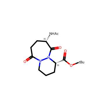 CC(=O)N[C@H]1CCC(=O)N2CCC[C@@H](C(=O)OC(C)(C)C)N2C1=O